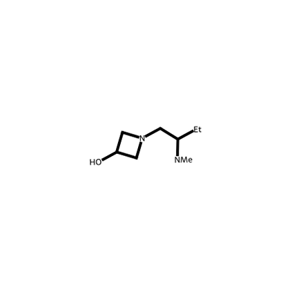 CCC(CN1CC(O)C1)NC